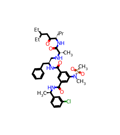 CCC(CC)CC(=O)[C@@H](NC(=O)[C@H](C)NC[C@H](Cc1ccccc1)NC(=O)c1cc(C(=O)N[C@H](C)c2cccc(Cl)c2)cc(N(C)S(C)(=O)=O)c1)C(C)C